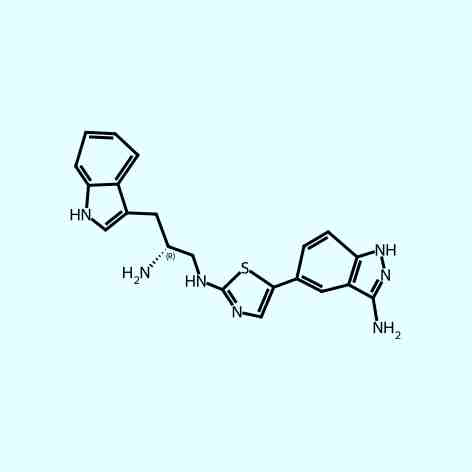 Nc1n[nH]c2ccc(-c3cnc(NC[C@H](N)Cc4c[nH]c5ccccc45)s3)cc12